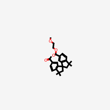 COCCOC(=O)c1ccc2c(c1)C1(CC(C)(C)c3ccc(C(C)=O)cc31)CC2(C)C